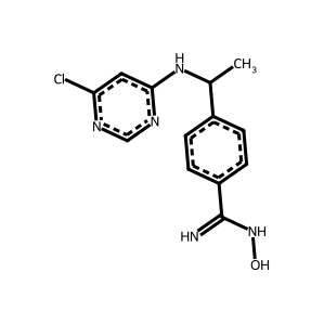 CC(Nc1cc(Cl)ncn1)c1ccc(C(=N)NO)cc1